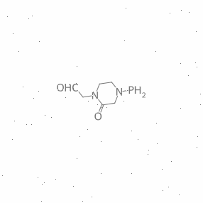 O=CCN1CCN(P)CC1=O